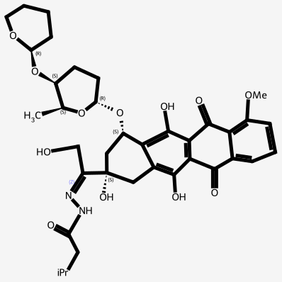 COc1cccc2c1C(=O)c1c(O)c3c(c(O)c1C2=O)C[C@@](O)(/C(CO)=N\NC(=O)CC(C)C)C[C@@H]3O[C@H]1CC[C@H](O[C@@H]2CCCCO2)[C@H](C)O1